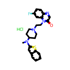 CN(c1cc2ccccc2s1)C1CCN(CCn2c(=O)cnc3ccc(F)cc32)CC1.Cl